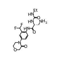 CCNC(=O)N[C@H](CN)C(=O)Nc1ccc(N2CCOCC2=O)cc1C(F)F